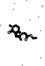 CCOC(=O)Cn1c(C)cc2c1CCN(C)C2=O